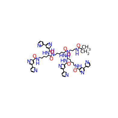 C=C(C)C(=O)NCCCNC(=O)C(CCCCNC(=O)C(CCCCNC(=O)c1cncc(-c2cccnc2)c1)NC(=O)c1cncc(-c2cccnc2)c1)NC(=O)C(CCCCNC(=O)c1cncc(-c2cccnc2)c1)NC(=O)c1cncc(-c2cccnc2)c1